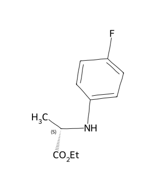 CCOC(=O)[C@H](C)Nc1ccc(F)cc1